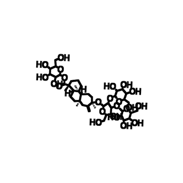 C=C1C[C@@]2(C)CC[C@H]3[C@@](C)(CCC[C@@]3(C)C(=O)OC3OC(CO)C(O)C(O)C3O)[C@@H]2CC[C@@]1(C)OC1OC(CO)C(O)C(OC2OC(CO)C(O)C(O)C2O)C1OC1OC(CO)C(O)C(O)C1O